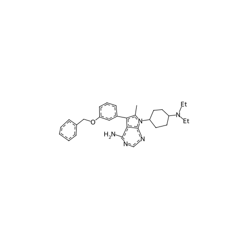 CCN(CC)C1CCC(n2c(C)c(-c3cccc(OCc4ccccc4)c3)c3c(N)ncnc32)CC1